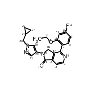 O=C1c2ccnc(-c3ccc(F)cc3OCC(F)(F)F)c2CN1c1cnn(CC2CC2)c1